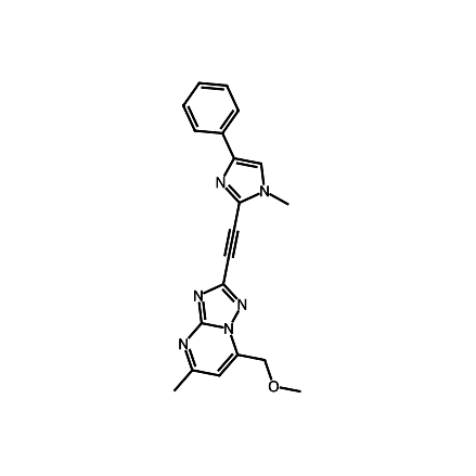 COCc1cc(C)nc2nc(C#Cc3nc(-c4ccccc4)cn3C)nn12